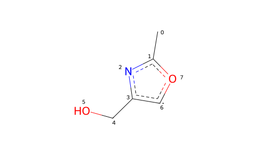 Cc1nc(CO)[c]o1